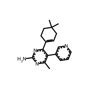 Cc1nc(N)nc(C2=CCC(C)(C)CC2)c1-c1cccnc1